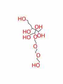 CC(O)C(O)(C(O)CCCO)C(CO)OCCOCCOCCO